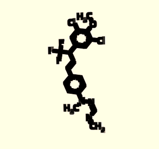 C=N/C=N\N(C)c1ccc(/C=C/C(c2cc(Cl)c(OC)c(Cl)c2)C(F)(F)F)cc1